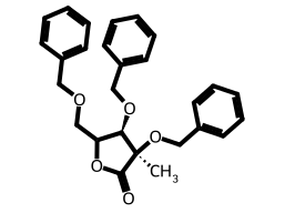 C[C@]1(OCc2ccccc2)C(=O)OC(COCc2ccccc2)[C@H]1OCc1ccccc1